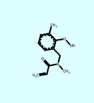 C=CC(=O)N(C)Cc1cccc(C)c1OCCC